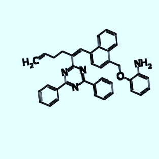 C=CCC/C(=C/c1ccc(COc2ccccc2N)c2ccccc12)c1nc(-c2ccccc2)nc(-c2ccccc2)n1